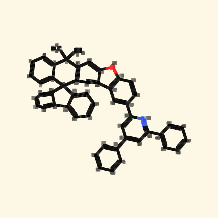 CC1(C)c2ccccc2C2(c3ccccc3-c3ccccc32)c2cc3c(cc21)oc1ccc(-c2cc(-c4ccccc4)cc(-c4ccccc4)n2)cc13